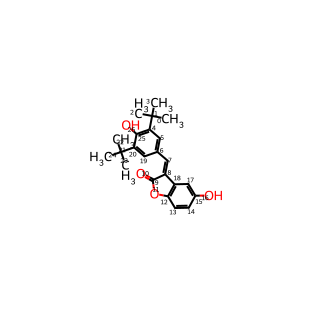 CC(C)(C)c1cc(C=C2C(=O)Oc3ccc(O)cc32)cc(C(C)(C)C)c1O